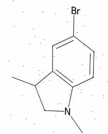 CC1CN(C)c2ccc(Br)cc21